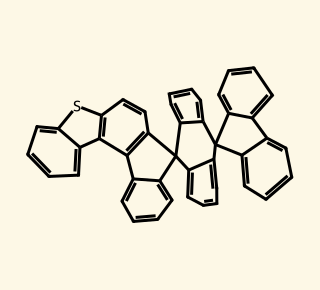 c1ccc2c(c1)-c1ccccc1C21c2ccccc2C2(c3ccccc3-c3c2ccc2sc4ccccc4c32)c2ccccc21